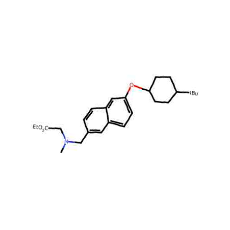 CCOC(=O)CN(C)Cc1ccc2cc(OC3CCC(C(C)(C)C)CC3)ccc2c1